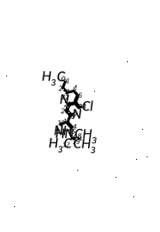 CCCC1CC=c2c(Cl)nc(/C(C=N)=C/NC(C)(C)C)cc2=N1